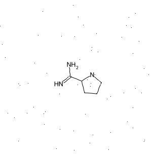 N=C(N)C1CCC[N]1